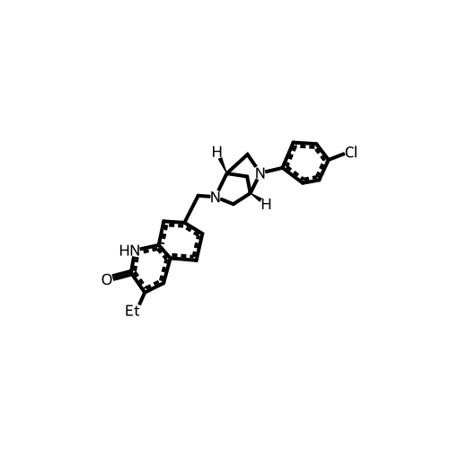 CCc1cc2ccc(CN3C[C@@H]4C[C@H]3CN4c3ccc(Cl)cc3)cc2[nH]c1=O